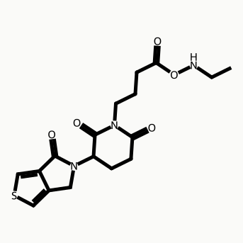 CCNOC(=O)CCCN1C(=O)CCC(N2Cc3cscc3C2=O)C1=O